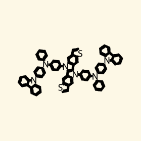 c1ccc(N(c2ccc(-n3c4ccccc4c4ccccc43)cc2)c2ccc(-n3c4cc5ccsc5cc4c4c3c3cc5sccc5cc3n4-c3ccc(N(c4ccccc4)c4ccc(-n5c6ccccc6c6ccccc65)cc4)cc3)cc2)cc1